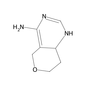 NC1=C2COCCC2NC=N1